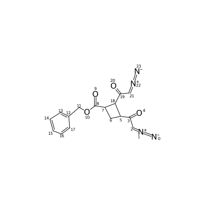 [N-]=[N+]=CC(=O)C1CC(C(=O)OCc2ccccc2)C1C(=O)C=[N+]=[N-]